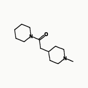 CN1CCC(CC(=O)N2CCCCC2)CC1